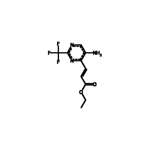 CCOC(=O)/C=C/c1nc(C(F)(F)F)ncc1N